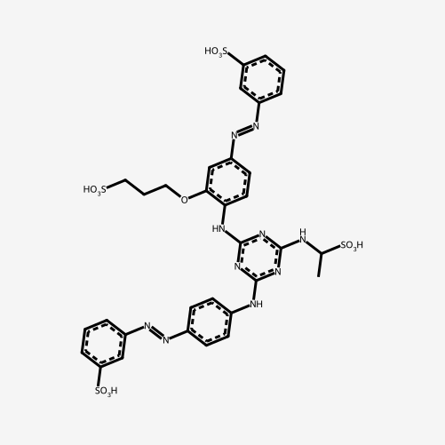 CC(Nc1nc(Nc2ccc(N=Nc3cccc(S(=O)(=O)O)c3)cc2)nc(Nc2ccc(N=Nc3cccc(S(=O)(=O)O)c3)cc2OCCCS(=O)(=O)O)n1)S(=O)(=O)O